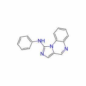 c1ccc(Nc2ncc3cnc4ccccc4n23)cc1